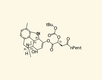 CCCCCC(=O)C[C@H](OC(=O)OC(C)(C)C)C(=O)OC1=CC[C@@]2(O)[C@H]3Cc4ccc(C)c5c4[C@@]2(CCN3C)[C@H]1O5